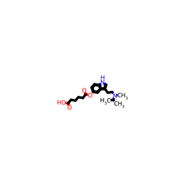 CC(C)N(C)CCc1c[nH]c2ccc(OC(=O)CCCCC(=O)O)cc12